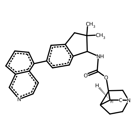 CC1(C)Cc2cc(-c3cccc4cnccc34)ccc2C1NC(=O)O[C@H]1CN2CCC1CC2